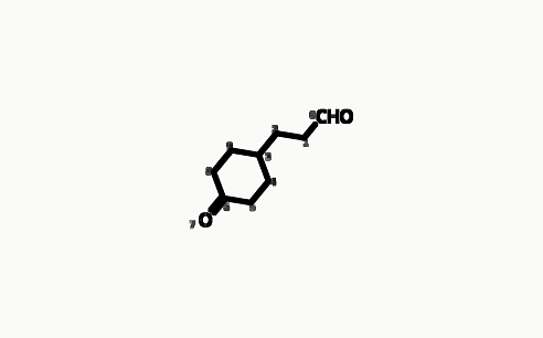 O=CCCC1CCC(=O)CC1